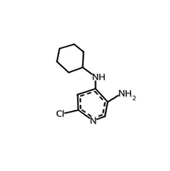 Nc1cnc(Cl)cc1NC1CCCCC1